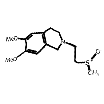 COc1cc2c(cc1OC)CN(CC[S+](C)[O-])CC2